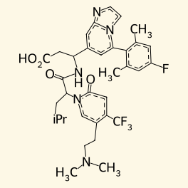 Cc1cc(F)cc(C)c1-c1cc(C(CC(=O)O)NC(=O)C(CC(C)C)n2cc(CCN(C)C)c(C(F)(F)F)cc2=O)cc2nccn12